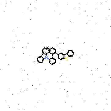 N#Cc1ccc(-c2ccc3sc4ccccc4c3c2)c(-c2ccccc2-n2c3ccccc3c3ccccc32)c1